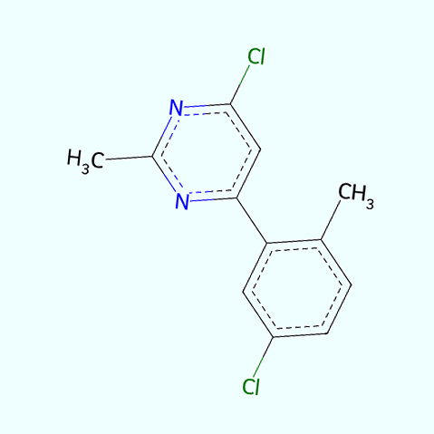 Cc1nc(Cl)cc(-c2cc(Cl)ccc2C)n1